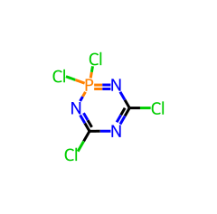 ClC1=NC(Cl)=NP(Cl)(Cl)=N1